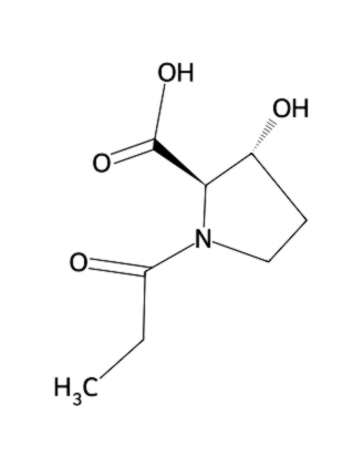 CCC(=O)N1CC[C@@H](O)[C@@H]1C(=O)O